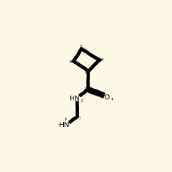 [NH]CNC(=O)C1CCC1